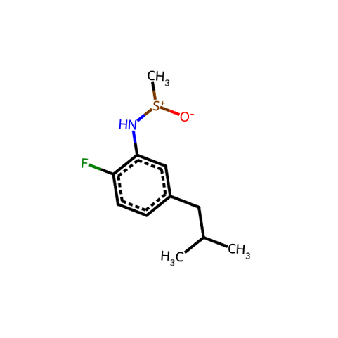 CC(C)Cc1ccc(F)c(N[S+](C)[O-])c1